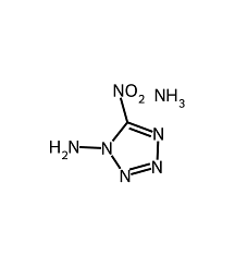 N.Nn1nnnc1[N+](=O)[O-]